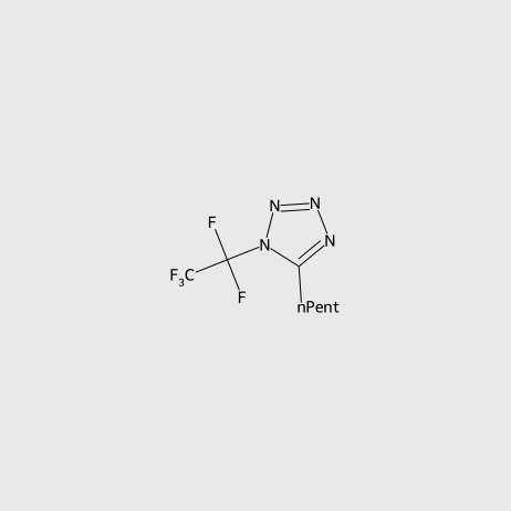 CCCCCc1nnnn1C(F)(F)C(F)(F)F